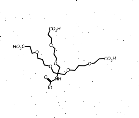 CCC(=O)NC(COCCCOCCC(=O)O)(COCCCOCCC(=O)O)COCCCOCCC(=O)O